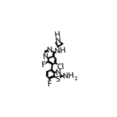 Nc1nc2c(-c3c(Cl)cc4c(NC5CNC5)ncnc4c3F)ccc(F)c2s1